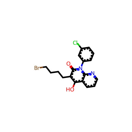 O=c1c(CCCCBr)c(O)c2cccnc2n1-c1cccc(Cl)c1